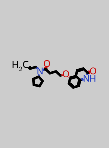 C=CCN(C(=O)CCCOc1cccc2[nH]c(=O)ccc12)C1CCCC1